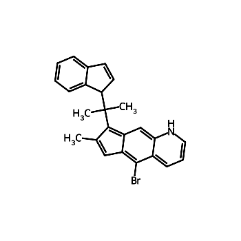 Cc1cc2c(Br)c3ccc[nH]c3cc2c1C(C)(C)C1C=Cc2ccccc21